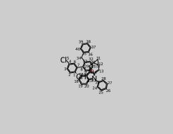 Cc1ccc(Cl)cc1-c1ccc([C@]23C=c4c(c5ccccc5n4-c4ccccc4)=CC2C3)cc1Cc1ccccc1